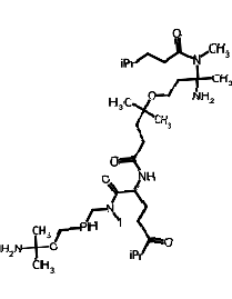 CC(C)CCC(=O)N(C)C(C)(N)CCOC(C)(C)CCC(=O)NC(CCC(=O)C(C)C)C(=O)N(I)CPCOC(C)(C)N